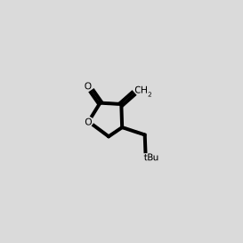 C=C1C(=O)OCC1CC(C)(C)C